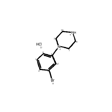 Brc1cccc(N2CCNCC2)c1.Cl